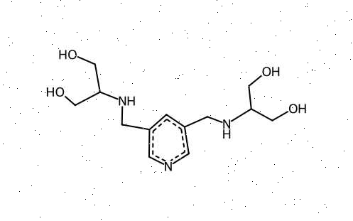 OCC(CO)NCc1cncc(CNC(CO)CO)c1